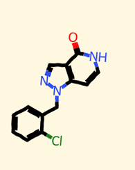 O=c1[nH]ccc2c1cnn2Cc1ccccc1Cl